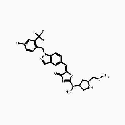 COCC1CC(N(C)C2=NC(=O)C(=Cc3ccc4c(cnn4Cc4ccc(Cl)cc4C(F)(F)F)c3)S2)CN1